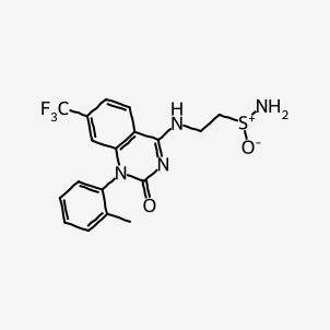 Cc1ccccc1-n1c(=O)nc(NCC[S+](N)[O-])c2ccc(C(F)(F)F)cc21